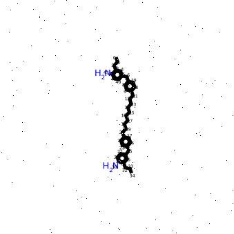 CCCc1cc(Cc2ccc(CCCCCCCCCCc3ccc(Cc4ccc(N)c(CCC)c4)cc3)cc2)ccc1N